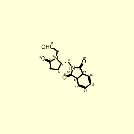 O=CCN1C(=O)CC[C@H]1CN1C(=O)C2C=CC=CC2C1=O